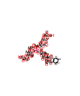 O=P([O][Mo](=[O])(=[O])[O][Mo](=[O])(=[O])[O][Mo](=[O])(=[O])[O][Mo](=[O])(=[O])[OH])([O][Mo](=[O])(=[O])[O][Mo](=[O])(=[O])[O][Mo](=[O])(=[O])[O][Mo](=[O])(=[O])[OH])[O][Mo](=[O])(=[O])[O][Mo](=[O])(=[O])[O][Mo](=[O])(=[O])[O][Mo](=[O])(=[O])[O]c1ccccc1